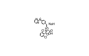 CN(c1ccc(/C=C/C[C@H](NC(=O)c2c(Cl)cccc2Cl)C(=O)O)cc1)c1ncccn1.[NaH]